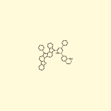 C1=Cc2ccc(C3C=C(c4ccccc4)C=C(n4c5ccccc5c5c4ccc4c6c7oc8ccccc8c7ccc6n(-c6ccccc6)c45)N3)cc2NC1